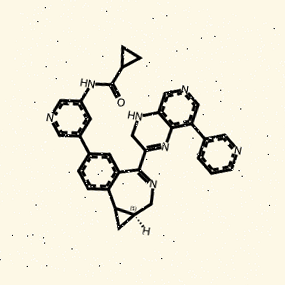 O=C(Nc1cncc(-c2ccc3c(c2)C(C2=Nc4c(cncc4-c4cccnc4)NC2)=NC[C@H]2CC32)c1)C1CC1